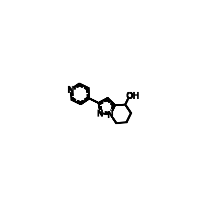 OC1CCCn2nc(-c3ccncc3)cc21